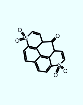 O=C1C2C=CS(=O)(=O)c3ccc4ccc5c(c4c32)C1C=CS5(=O)=O